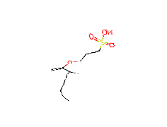 C=C(OCCCS(=O)(=O)O)C(C)CC